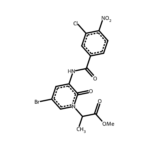 COC(=O)C(C)n1cc(Br)cc(NC(=O)c2ccc([N+](=O)[O-])c(Cl)c2)c1=O